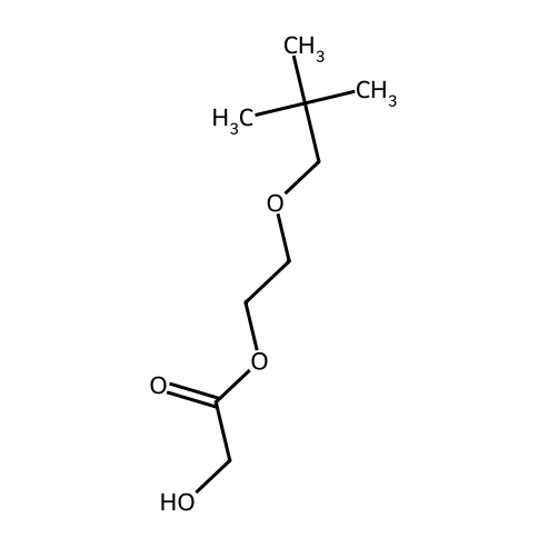 CC(C)(C)COCCOC(=O)CO